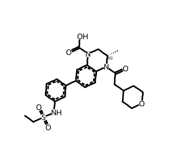 CCS(=O)(=O)Nc1cccc(-c2ccc3c(c2)N(C(=O)O)C[C@H](C)N3C(=O)CC2CCOCC2)c1